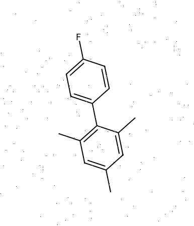 Cc1cc(C)c(-c2ccc(F)cc2)c(C)c1